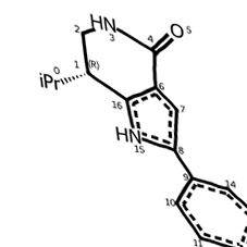 CC(C)[C@@H]1CNC(=O)c2cc(-c3ccncc3)[nH]c21